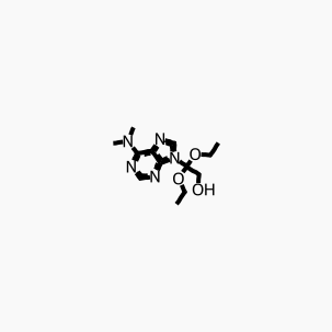 CCOC(CO)(OCC)n1cnc2c(N(C)C)ncnc21